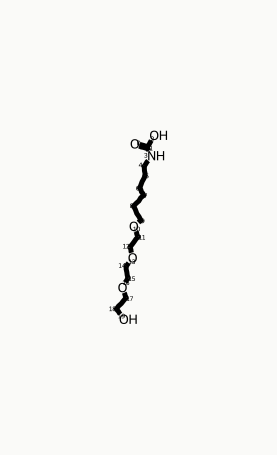 O=C(O)NCCCCCCOCCOCCOCCO